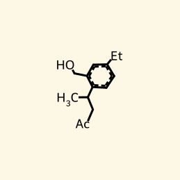 CCc1ccc(C(C)CC(C)=O)c(CO)c1